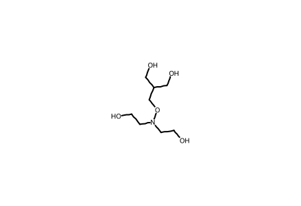 OCCN(CCO)OCC(CO)CO